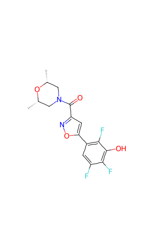 C[C@@H]1CN(C(=O)c2cc(-c3cc(F)c(F)c(O)c3F)on2)C[C@H](C)O1